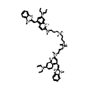 CCN(CC)c1cc(/C=C2\Sc3ccccc3N2C)c2ccc(N(C)CCC[N+](C)(C)CCC[N+](C)(C)CCCN(C)c3cc(/C=C4\Sc5ccccc5N4C)c4ccc(N(CC)CC)cc4[o+]3)[o+]c2c1